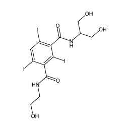 O=C(NCCO)c1c(I)[c]c(I)c(C(=O)NC(CO)CO)c1I